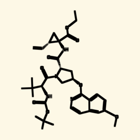 C=C[C@@H]1C[C@]1(NC(=O)[C@@H]1C[C@@H](Oc2nccc3cc(OC)ccc23)CN1C(=O)[C@@H](NC(=O)OC(C)(C)C)C(C)(C)C)C(=O)OCC